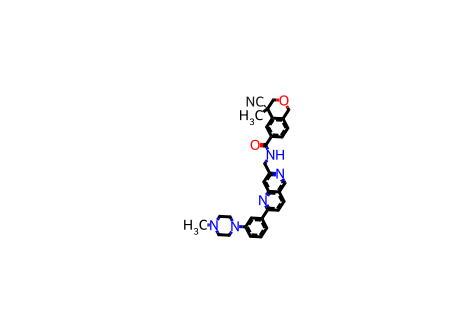 CN1CCN(c2cccc(-c3ccc4cnc(CNC(=O)c5ccc6c(c5)[C@](C)(C#N)COC6)cc4n3)c2)CC1